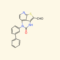 O=Cc1sc2nccc3c2c1NC(=O)N3c1cccc(-c2ccccc2)c1